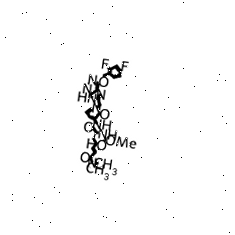 COC(O)N[C@@H](CC/C=C/C(=O)N(C)C)C(=O)Nc1cccn(Cc2nc3c(OCc4ccc(F)cc4F)ncnc3[nH]2)c1=O